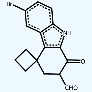 O=CC1CC2(CCC2)c2c([nH]c3ccc(Br)cc23)C1=O